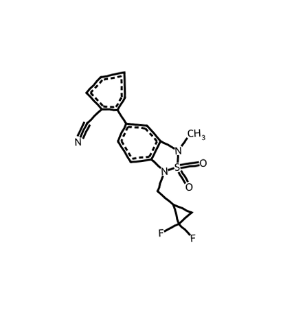 CN1c2cc(-c3ccccc3C#N)ccc2N(CC2CC2(F)F)S1(=O)=O